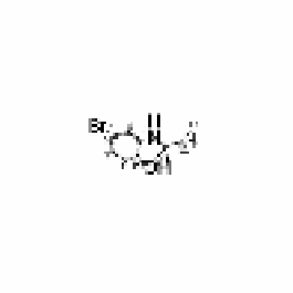 O=C(Nc1cc(Br)ccc1O)C1CC1